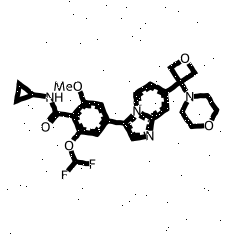 COc1cc(-c2cnc3cc(C4(N5CCOCC5)COC4)ccn23)cc(OC(F)F)c1C(=O)NC1CC1